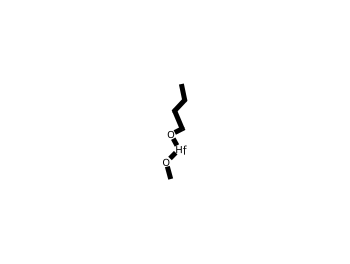 CCCC[O][Hf][O]C